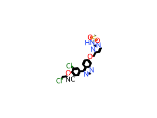 CS(=O)(=O)Nc1nccc(COc2ccc3c(-c4cc(Cl)c(OCCCl)c(C#N)c4)ncnc3c2)n1